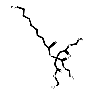 CCCCCCCCCC(=O)OC(CC(=O)OCC)(CC(=O)OCC)C(=O)OCC